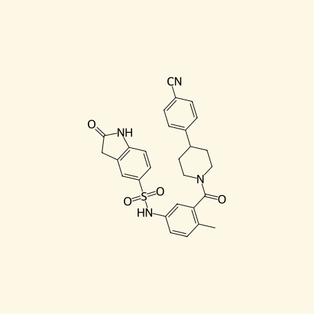 Cc1ccc(NS(=O)(=O)c2ccc3c(c2)CC(=O)N3)cc1C(=O)N1CCC(c2ccc(C#N)cc2)CC1